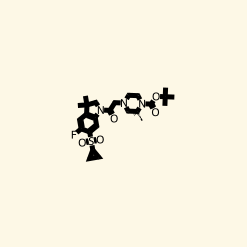 C[C@@H]1CN(CC(=O)N2CC(C)(C)c3cc(F)c(S(=O)(=O)C4CC4)cc32)CCN1C(=O)OC(C)(C)C